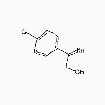 N=C(CO)c1ccc(Cl)cc1